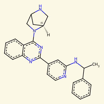 CC(Nc1cc(-c2nc(N3CC4C[C@H]3CN4)c3ccccc3n2)ccn1)c1ccccc1